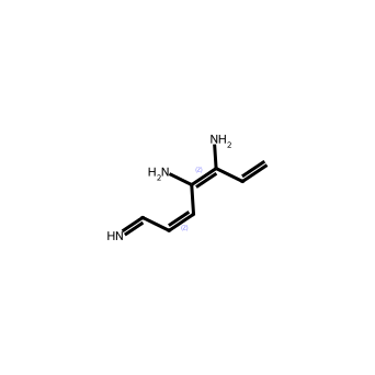 C=C/C(N)=C(N)\C=C/C=N